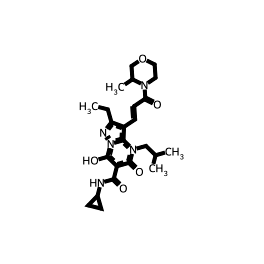 CCc1nn2c(O)c(C(=O)NC3CC3)c(=O)n(CC(C)C)c2c1C=CC(=O)N1CCOCC1C